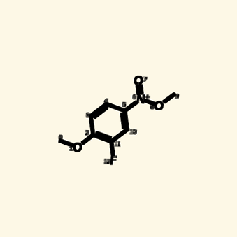 COc1ccc([N+](=O)OC)cc1F